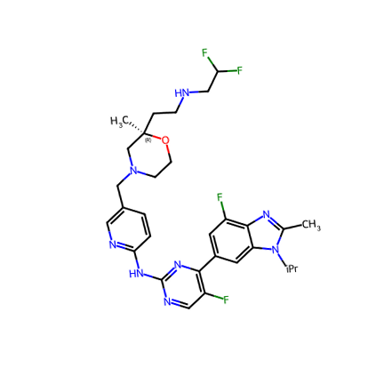 Cc1nc2c(F)cc(-c3nc(Nc4ccc(CN5CCO[C@](C)(CCNCC(F)F)C5)cn4)ncc3F)cc2n1C(C)C